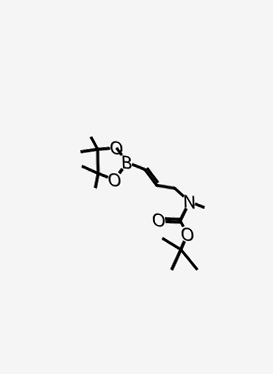 CN(C/C=C/B1OC(C)(C)C(C)(C)O1)C(=O)OC(C)(C)C